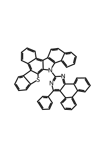 c1ccc(-c2nc(-n3c4c5ccccc5ccc4c4c5ccccc5c5c6ccccc6sc5c43)nc3c4ccccc4c4ccccc4c23)cc1